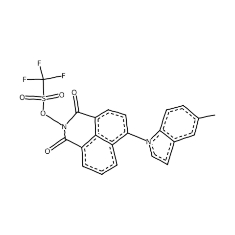 Cc1ccc2c(ccn2-c2ccc3c4c(cccc24)C(=O)N(OS(=O)(=O)C(F)(F)F)C3=O)c1